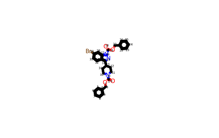 O=C(OCc1ccccc1)N1CCC(c2nn(C(=O)OCc3ccccc3)c3cc(Br)ccc23)CC1